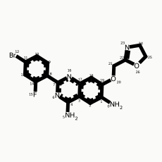 Nc1cc2c(N)nc(-c3ccc(Br)cc3F)nc2cc1OCC1=NCCO1